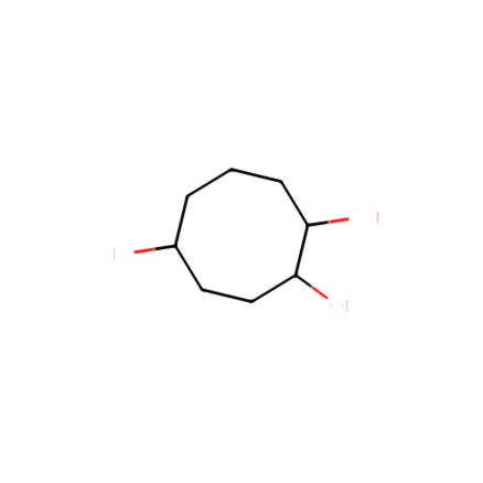 OC1CCCC(O)C(O)CC1